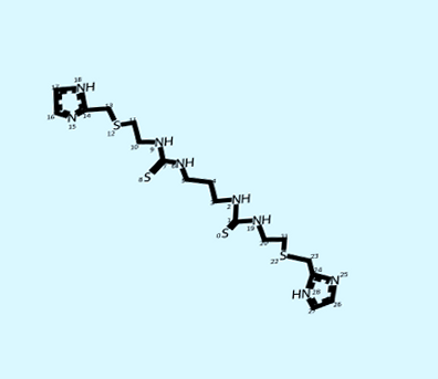 S=C(NCCCNC(=S)NCCSCc1ncc[nH]1)NCCSCc1ncc[nH]1